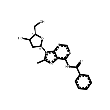 Cc1nc2c(NC(=O)c3ccccc3)ncnc2n1[C@H]1CC(O)[C@@H](CO)O1